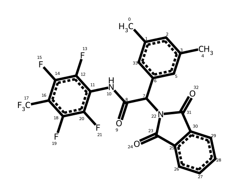 Cc1cc(C)cc(C(C(=O)Nc2c(F)c(F)c(C(F)(F)F)c(F)c2F)N2C(=O)c3ccccc3C2=O)c1